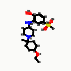 CCO[C@H]1CC[C@](C)(N2CCC(Nc3cc(S(C)(=O)=O)ccc3O)CC2)CC1